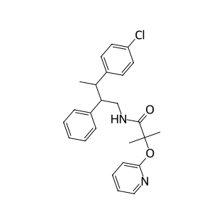 CC(c1ccc(Cl)cc1)C(CNC(=O)C(C)(C)Oc1ccccn1)c1ccccc1